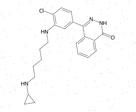 O=c1[nH]nc(-c2ccc(Cl)c(NCCCCCNC3CC3)c2)c2ccccc12